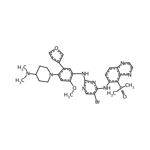 COc1cc(N2CCC(N(C)C)CC2)c(-c2ccoc2)cc1Nc1ncc(Br)c(Nc2ccc3nccnc3c2P(C)(C)=O)n1